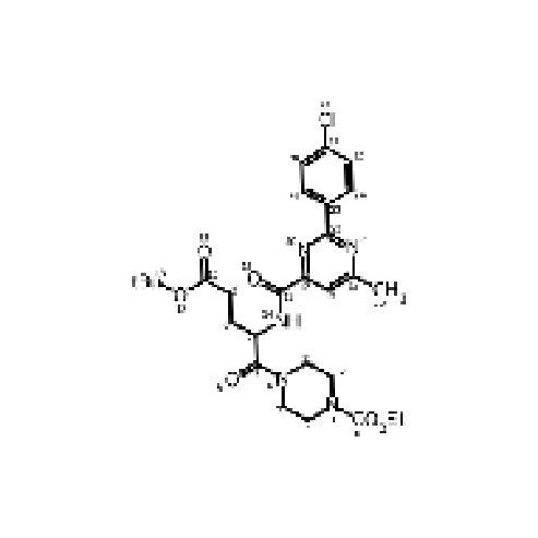 CCOC(=O)N1CCN(C(=O)C(CCC(=O)OC(C)(C)C)NC(=O)c2cc(C)nc(-c3ccc(Cl)cc3)n2)CC1